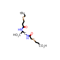 CC(C)(C)CSCCC(=O)NC(CNC(=O)CSCCC(=O)O)C(=O)O